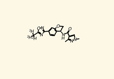 [2H]C([2H])([2H])c1nc(-c2ccc3c(c2)OC[C@H]3NC(=O)c2cn(C)nc2C)no1